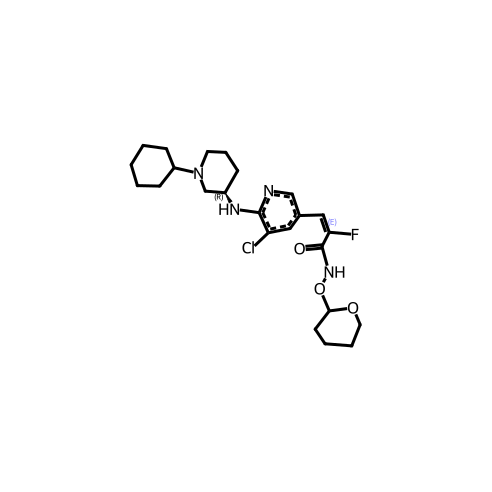 O=C(NOC1CCCCO1)/C(F)=C\c1cnc(N[C@@H]2CCCN(C3CCCCC3)C2)c(Cl)c1